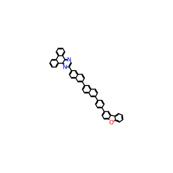 c1ccc2c(c1)oc1ccc(-c3ccc(-c4ccc5cc(-c6ccc7cc(-c8cnc9c%10ccccc%10c%10ccccc%10c9n8)ccc7c6)ccc5c4)cc3)cc12